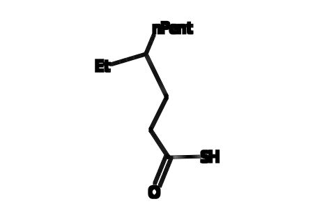 CCCCCC(CC)CCC(=O)S